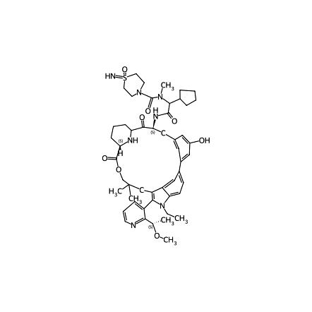 CCn1c(-c2cccnc2[C@H](C)OC)c2c3cc(ccc31)-c1cc(O)cc(c1)C[C@H](NC(=O)C(C1CCCC1)N(C)C(=O)N1CCS(=N)(=O)CC1)C(=O)C1CCC[C@H](N1)C(=O)OCC(C)(C)C2